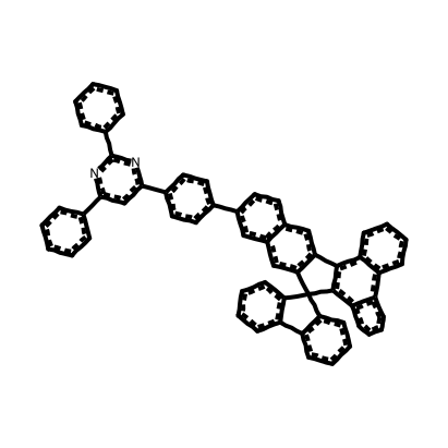 c1ccc(-c2cc(-c3ccc(-c4ccc5cc6c(cc5c4)C4(c5ccccc5-c5ccccc54)c4c-6c5ccccc5c5ccccc45)cc3)nc(-c3ccccc3)n2)cc1